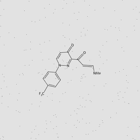 CNC=CC(=O)c1nn(-c2ccc(C(F)(F)F)cc2)ccc1=O